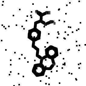 COC(Cc1ccc(CCCN2c3ccccc3COc3ccccc32)cc1)C(=O)O